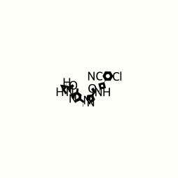 Cc1cc([C@@H](C)n2cc(C(=O)N[C@H]3C[C@@H](c4cc(Cl)ccc4C#N)C3)cn2)cnc1N1C[C@H]2C[C@H]2C1=O